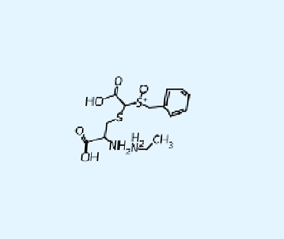 CCN.NC(CSC(C(=O)O)[S+]([O-])Cc1ccccc1)C(=O)O